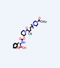 COC(=O)N1CCN(C(C)(C)CCC(C#N)C(=O)N2CCC[C@H](OC(=O)N[C@@H](Cc3ccccc3)B(O)O)C2)CC1